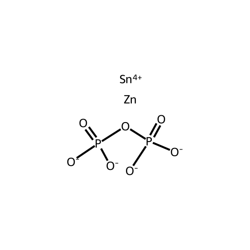 O=P([O-])([O-])OP(=O)([O-])[O-].[Sn+4].[Zn]